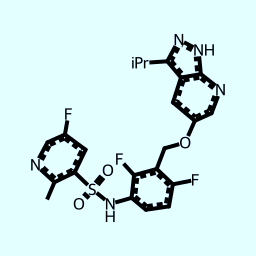 Cc1ncc(F)cc1S(=O)(=O)Nc1ccc(F)c(COc2cnc3[nH]nc(C(C)C)c3c2)c1F